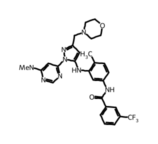 CNc1cc(-n2nc(CN3CCOCC3)cc2Nc2cc(NC(=O)c3cccc(C(F)(F)F)c3)ccc2C)ncn1